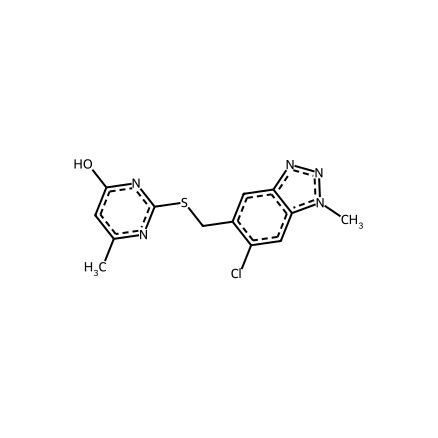 Cc1cc(O)nc(SCc2cc3nnn(C)c3cc2Cl)n1